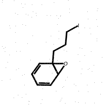 ICCCC12C=CC=CC1O2